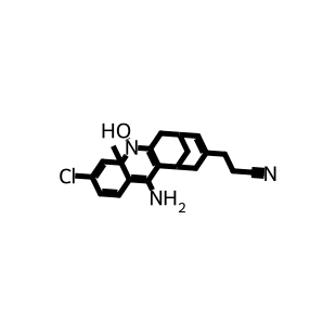 CC12C=C(Cl)C=CC1=C(N)C1=C(CC3C=C(CCC#N)CC1C3)N2O